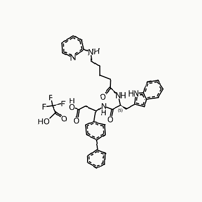 O=C(O)C(F)(F)F.O=C(O)CC(NC(=O)[C@H](Cc1cc2ccccc2[nH]1)NC(=O)CCCCNc1ccccn1)c1ccc(-c2ccccc2)cc1